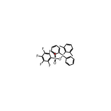 Cc1cccc(C)c1S(OS(=O)(=O)c1c(F)c(F)c(F)c(F)c1F)(c1ccccc1)c1ccccc1